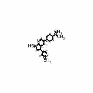 CN(C)C1CCC(c2cnc3c(c2)C(c2cnn(C)c2)CN3S)CC1